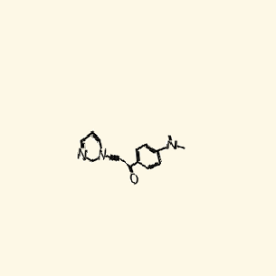 CN(C)c1ccc(C(=O)C#CN2C=CC=NC2)cc1